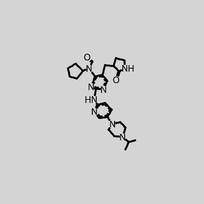 CC(C)N1CCN(c2ccc(Nc3ncc(CC4CCNC4=O)c(N(C=O)C4CCCC4)n3)nc2)CC1